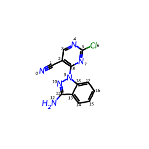 N#Cc1cnc(Cl)nc1-n1nc(N)c2ccccc21